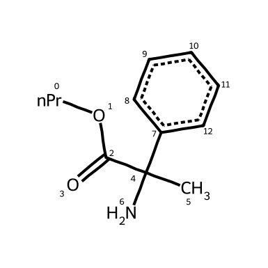 CCCOC(=O)C(C)(N)c1ccccc1